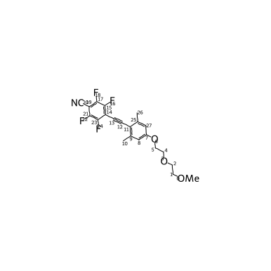 COCCOCCOc1cc(C)c(C#Cc2c(F)c(F)c(C#N)c(F)c2F)c(C)c1